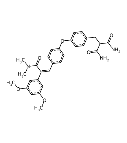 COc1cc(OC)cc(C(=Cc2ccc(Oc3ccc(CC(C(N)=O)C(N)=O)cc3)cc2)C(=O)N(C)C)c1